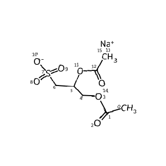 CC(=O)OCC(CS(=O)(=O)[O-])OC(C)=O.[Na+]